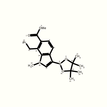 COC(=O)c1ccc2c(B3OC(C)(C)C(C)(C)O3)cn(C)c2c1CC(C)C